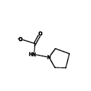 [O]C(=O)NN1CCCC1